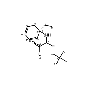 CC[C@]1(NC(CCC(C)(C)C)C(=O)O)C=CC=CC1